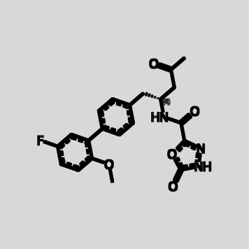 COc1ccc(F)cc1-c1ccc(C[C@H](CC(C)=O)NC(=O)c2n[nH]c(=O)o2)cc1